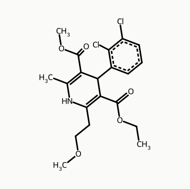 CCOC(=O)C1=C(CCOC)NC(C)=C(C(=O)OC)C1c1cccc(Cl)c1Cl